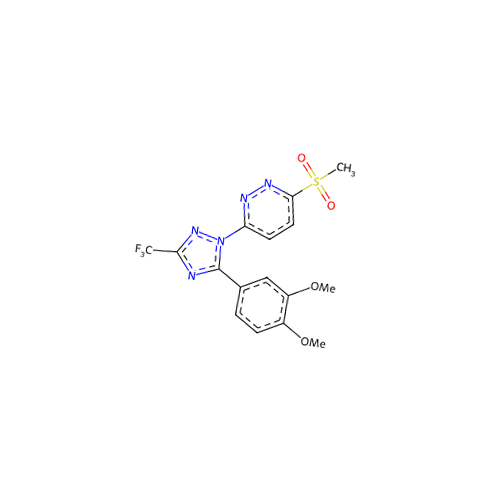 COc1ccc(-c2nc(C(F)(F)F)nn2-c2ccc(S(C)(=O)=O)nn2)cc1OC